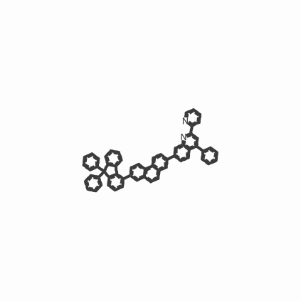 c1ccc(-c2cc(-c3ccccn3)nc3cc(-c4ccc5c(ccc6cc(-c7cccc8c7-c7ccccc7C8(c7ccccc7)c7ccccc7)ccc65)c4)ccc23)cc1